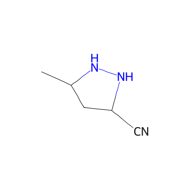 CC1CC(C#N)NN1